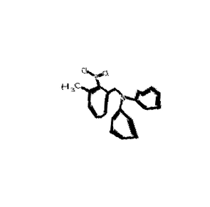 Cc1cccc(CN(c2ccccc2)c2ccccc2)c1P(Cl)Cl